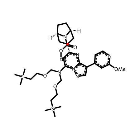 COc1cc(-c2cnn3c(N(COCC[Si](C)(C)C)COCC[Si](C)(C)C)cc([C@@H]4C[C@H]5CC[C@@H](C4)N5C(=O)OC(C)(C)C)nc23)ccn1